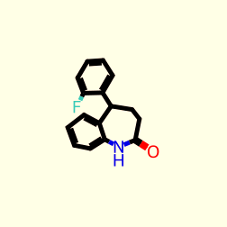 O=C1CCC(c2ccccc2F)c2ccccc2N1